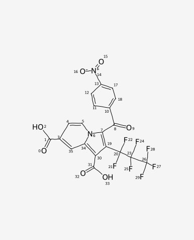 O=C(O)c1ccn2c(C(=O)c3ccc([N+](=O)[O-])cc3)c(C(F)(F)C(F)(F)C(F)(F)F)c(C(=O)O)c2c1